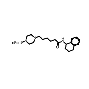 CCCCCN1CCN(CCCCCC(=O)NC2CCCc3ccccc32)CC1